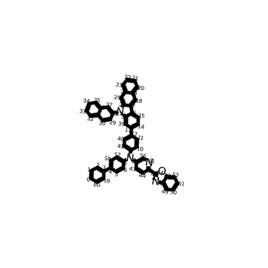 c1ccc(-c2ccc(N(c3ccc(-c4ccc5c6cc7ccccc7cc6n(-c6ccc7ccccc7c6)c5c4)cc3)c3ccc(-c4nc5ccccc5o4)nc3)cc2)cc1